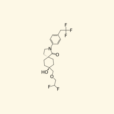 O=C1N(c2ccc(CC(F)(F)F)cc2)CC[C@]12CC[C@@](O)(COCC(F)F)CC2